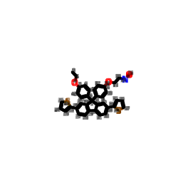 CCOc1ccc(C2(c3ccc(OCCN=O)cc3)c3cc(-c4cccs4)ccc3-c3ccc(-c4cccs4)cc32)cc1